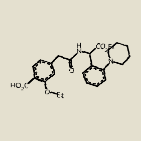 CCOC(=O)C(NC(=O)Cc1ccc(C(=O)O)c(OCC)c1)c1ccccc1N1CCCCC1